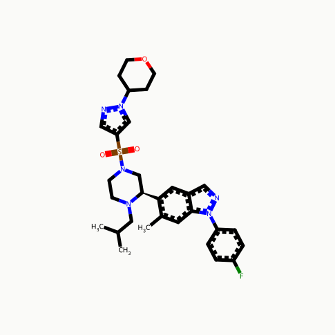 Cc1cc2c(cnn2-c2ccc(F)cc2)cc1[C@@H]1CN(S(=O)(=O)c2cnn(C3CCOCC3)c2)CCN1CC(C)C